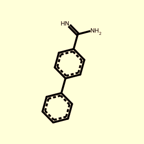 N=C(N)c1ccc(-c2ccccc2)cc1